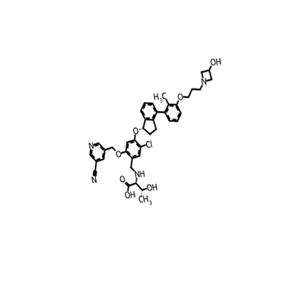 Cc1c(OCCCN2CC(O)C2)cccc1-c1cccc2c1CC[C@@H]2Oc1cc(OCc2cncc(C#N)c2)c(CN[C@H](C(=O)O)[C@@H](C)O)cc1Cl